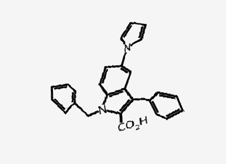 O=C(O)c1c(-c2ccccc2)c2cc(-n3cccc3)ccc2n1Cc1ccccc1